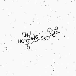 CC(=O)CCCCC(CSSCC(C)C(=O)N1CCCC1C(=O)O)SSCC(C)C(O)N1CCCC1C(=O)O